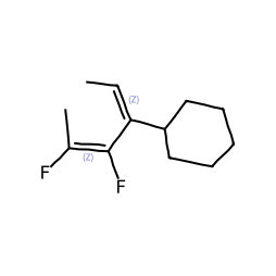 C/C=C(\C(F)=C(/C)F)C1CCCCC1